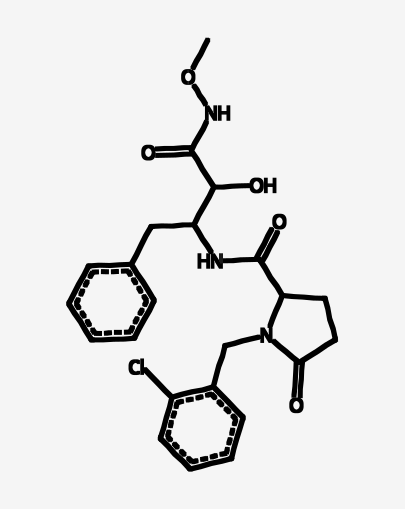 CONC(=O)C(O)C(Cc1ccccc1)NC(=O)C1CCC(=O)N1Cc1ccccc1Cl